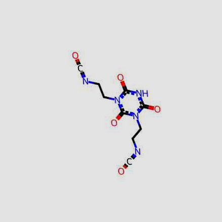 O=C=NCCn1c(=O)[nH]c(=O)n(CCN=C=O)c1=O